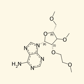 COCCO[C@H]1C(OC)[C@@H](COC)O[C@H]1n1cnc2c(N)ncnc21